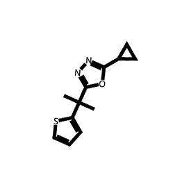 CC(C)(c1nnc(C2CC2)o1)c1cccs1